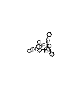 CC(c1csc2c(N3CC4CCCC4C3)cc(Cl)nc12)C(F)[C@]1(OCc2ccccc2)O[C@@H]1COCc1ccccc1